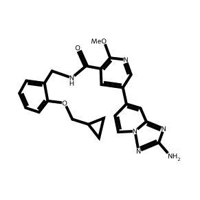 COc1ncc(-c2ccn3nc(N)nc3c2)cc1C(=O)NCc1ccccc1OCC1CC1